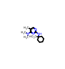 Cc1cnc(NC2(C(=O)O)CCCCC2)nc1N(C)C